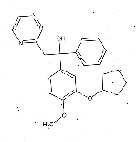 COc1ccc(C(O)(Cc2cnccn2)c2ccccc2)cc1OC1CCCC1